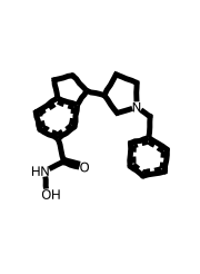 O=C(NO)c1ccc2c(c1)C(C1CCN(Cc3ccccc3)C1)CC2